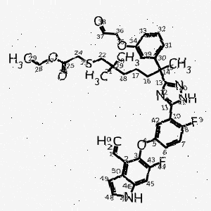 C=Cc1c(Oc2ccc(F)c(-c3nc(C(C)(CCCC(C)(C)CSCC(=O)OCC)c4cccc(OCC=O)c4)n[nH]3)c2)c(F)cc2[nH]ccc12